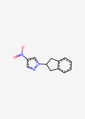 O=[N+]([O-])c1cnn(C2Cc3ccccc3C2)c1